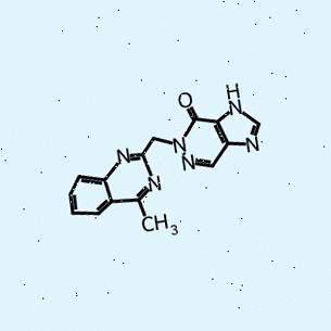 Cc1nc(Cn2ncc3nc[nH]c3c2=O)nc2ccccc12